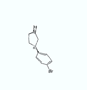 Brc1ccc([C@H]2CCNC2)cc1